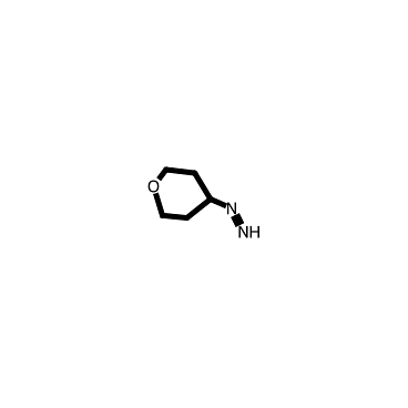 N=NC1CCOCC1